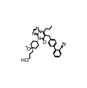 CCCc1c(Cc2ccc(-c3ccccc3C#N)cc2)c(=O)n([C@H]2CC[C@@](CCCO)(OC)CC2)c2ncnn12